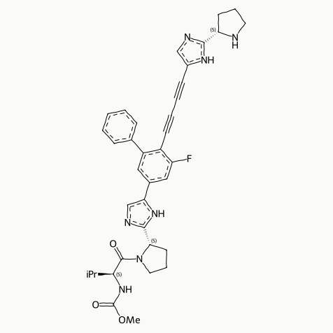 COC(=O)N[C@H](C(=O)N1CCC[C@H]1c1ncc(-c2cc(F)c(C#CC#Cc3cnc([C@@H]4CCCN4)[nH]3)c(-c3ccccc3)c2)[nH]1)C(C)C